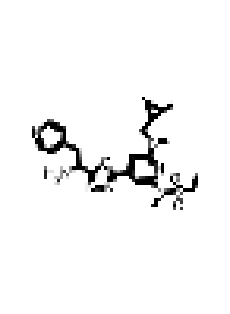 CCS(=O)(=O)N(C)c1cc(-c2nnc(C(N)Cc3ccncc3)o2)cc(N(C)CC2CC2C)n1